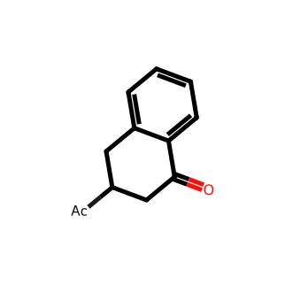 CC(=O)C1CC(=O)c2ccccc2C1